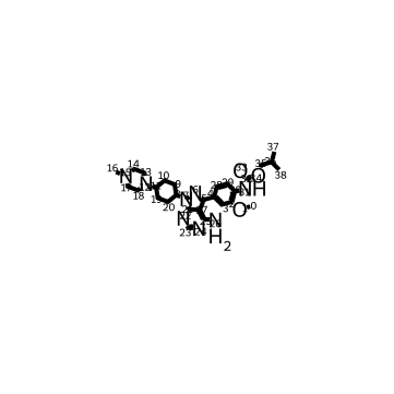 COc1cc(-c2nn(C3CCC(N4CCN(C)CC4)CC3)c3ncnc(N)c23)ccc1NC(=O)OCC(C)C